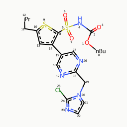 CCCCOC(=O)NS(=O)(=O)c1sc(CC(C)C)cc1-c1cnc(Cn2ccnc2Cl)nc1